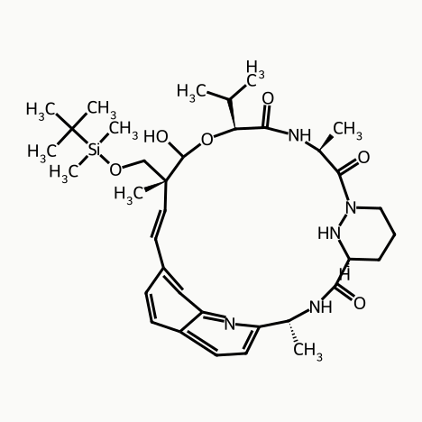 CC(C)[C@@H]1OC(O)[C@@](C)(CO[Si](C)(C)C(C)(C)C)/C=C/c2ccc3ccc(nc3c2)[C@@H](C)NC(=O)[C@@H]2CCCN(N2)C(=O)[C@H](C)NC1=O